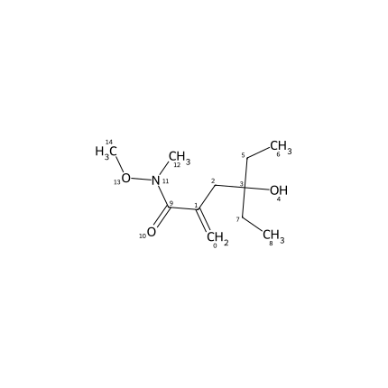 C=C(CC(O)(CC)CC)C(=O)N(C)OC